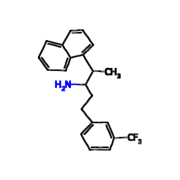 CC(c1cccc2ccccc12)C(N)CCc1cccc(C(F)(F)F)c1